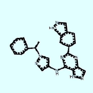 CC(c1ccccc1)n1cc(Nc2nc(-c3ccc4cn[nH]c4c3)nc3cn[nH]c23)cn1